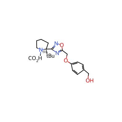 CC(C)(C)[C@]1(c2noc(COc3ccc(CO)cc3)n2)CCCCN1C(=O)O